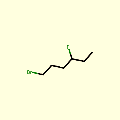 CCC(F)CCCBr